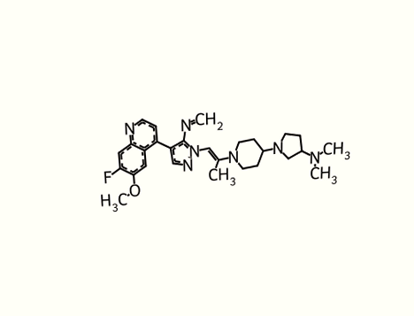 C=Nc1c(-c2ccnc3cc(F)c(OC)cc23)cnn1/C=C(\C)N1CCC(N2CCC(N(C)C)C2)CC1